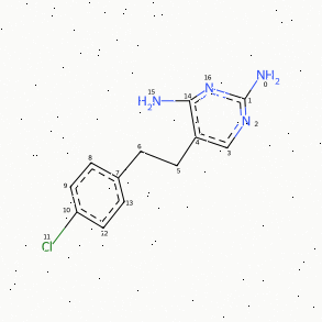 Nc1ncc(CCc2ccc(Cl)cc2)c(N)n1